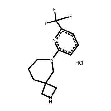 Cl.FC(F)(F)c1cccc(N2CCCC3(CNC3)C2)n1